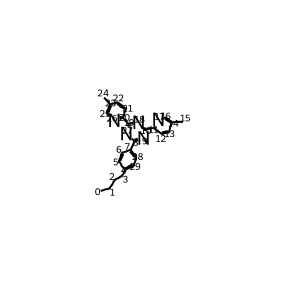 CCCCc1ccc(-c2nc(-c3ccc(C)cn3)nc(-c3ccc(C)cn3)n2)cc1